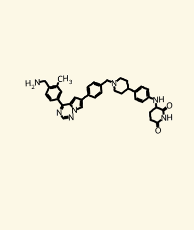 Cc1cc(-c2ncnn3cc(-c4ccc(CN5CCC(c6ccc(NC7CCC(=O)NC7=O)cc6)CC5)cc4)cc23)ccc1CN